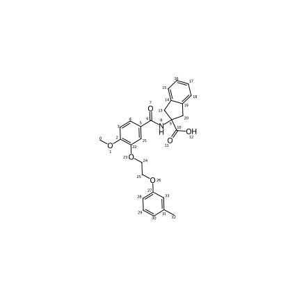 COc1ccc(C(=O)NC2(C(=O)O)Cc3ccccc3C2)cc1OCCOc1cccc(C)c1